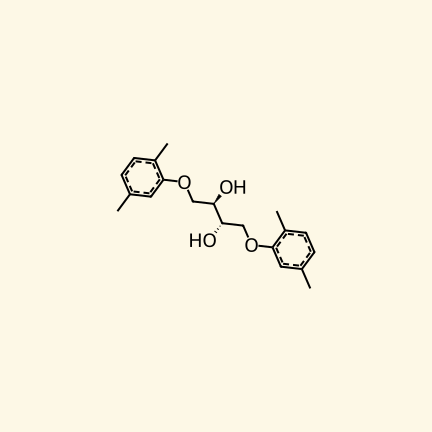 Cc1ccc(C)c(OC[C@@H](O)[C@@H](O)COc2cc(C)ccc2C)c1